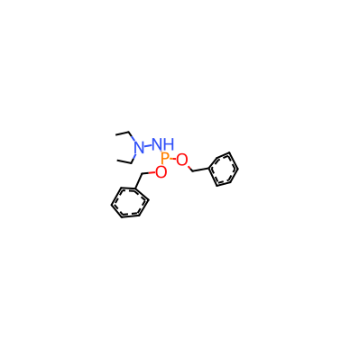 CCN(CC)NP(OCc1ccccc1)OCc1ccccc1